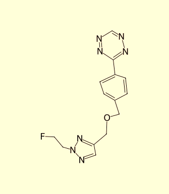 FCCn1ncc(COCc2ccc(-c3nncnn3)cc2)n1